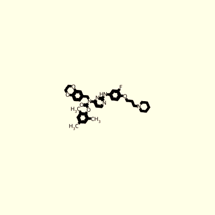 Cc1cc(C)c(OC(=O)N(Cc2ccc3c(c2)OCCO3)c2ccnc(Nc3ccc(OCCCN4CCCCC4)c(F)c3)n2)c(C)c1